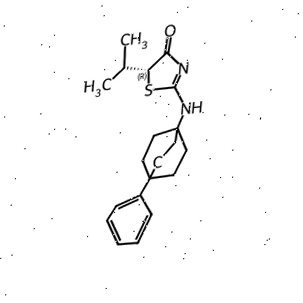 CC(C)[C@H]1SC(NC23CCC(c4ccccc4)(CC2)CC3)=NC1=O